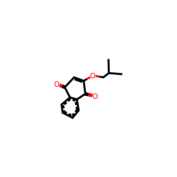 CC(C)COC1=CC(=O)c2ccccc2C1=O